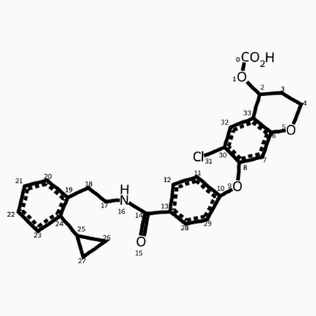 O=C(O)OC1CCOc2cc(Oc3ccc(C(=O)NCCc4ccccc4C4CC4)cc3)c(Cl)cc21